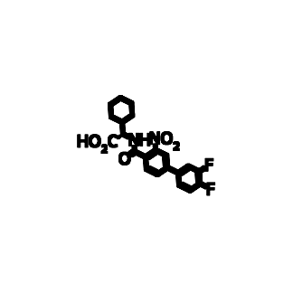 O=C(N[C@H](C(=O)O)C1CCCCC1)c1ccc(-c2ccc(F)c(F)c2)cc1[N+](=O)[O-]